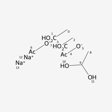 CC(=O)O.CC(=O)O.CC(=O)[O-].CC(=O)[O-].CC(O)O.[Na+].[Na+]